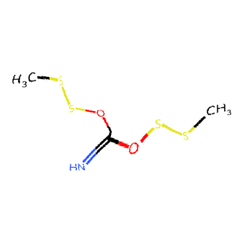 CSSOC(=N)OSSC